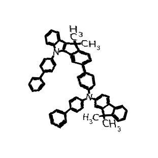 CC1(C)c2ccccc2-c2ccc(N(c3ccc(-c4ccccc4)cc3)c3ccc(-c4ccc5c(c4)-c4c(c6ccccc6n4-c4ccc(-c6ccccc6)cc4)C5(C)C)cc3)cc21